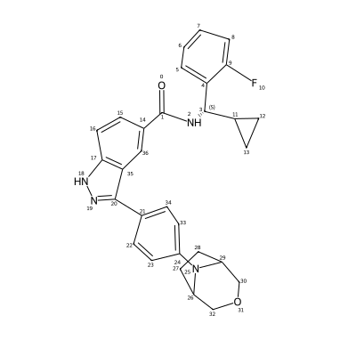 O=C(N[C@H](c1ccccc1F)C1CC1)c1ccc2[nH]nc(-c3ccc(N4C5CCC4COC5)cc3)c2c1